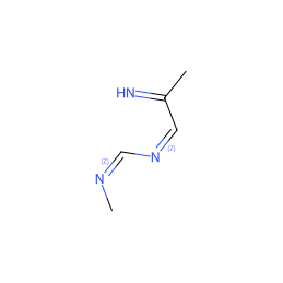 C/N=C\N=C/C(C)=N